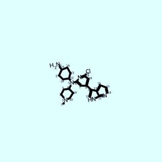 CN1CCC(N(c2cc(-c3c[nH]c4ncccc34)cc(Cl)n2)C2CCC(N)CC2)CC1